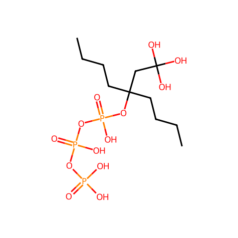 CCCCC(CCCC)(CC(O)(O)O)OP(=O)(O)OP(=O)(O)OP(=O)(O)O